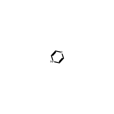 C1=CPC=C[P]1